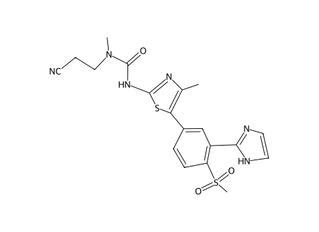 Cc1nc(NC(=O)N(C)CCC#N)sc1-c1ccc(S(C)(=O)=O)c(-c2ncc[nH]2)c1